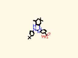 CC1CC(n2c(Nc3ccc(C(C)(C)C)cc3)nc3cc(C(=O)O)ccc32)CC(C)(C)C1